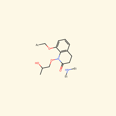 CC(=O)COc1cccc2c1N(OCC(C)O)C(=O)CC2.CCNCC